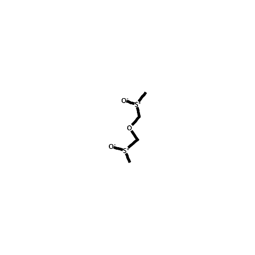 C[S+]([O-])COC[S+](C)[O-]